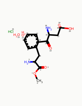 COC(=O)C(N)Cc1ccccc1C(=O)C(N)CC(=O)O.Cl.O.O